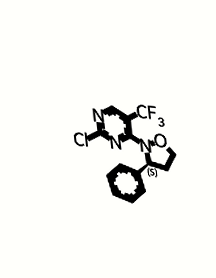 FC(F)(F)c1cnc(Cl)nc1N1OCC[C@H]1c1ccccc1